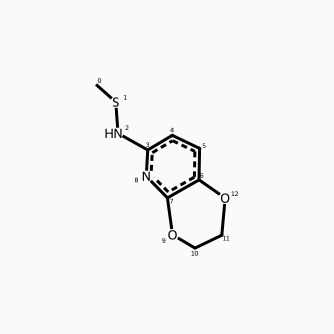 CSNc1ccc2c(n1)OCCO2